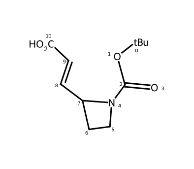 CC(C)(C)OC(=O)N1CCC1C=CC(=O)O